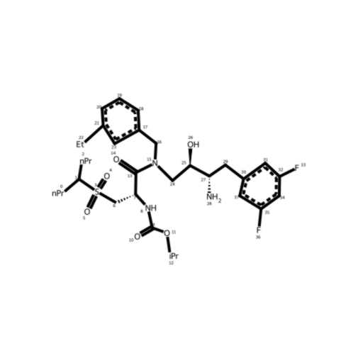 CCCC(CCC)S(=O)(=O)C[C@@H](NC(=O)OC(C)C)C(=O)N(Cc1cccc(CC)c1)C[C@@H](O)[C@@H](N)Cc1cc(F)cc(F)c1